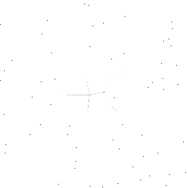 NC(O)C(Cl)(Cl)Cl